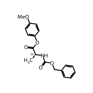 COc1ccc(OC(=O)[C@H](C)NC(=O)OCc2ccccc2)cc1